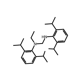 CCN(CNc1c(C(C)C)cccc1C(C)C)c1c(C(C)C)cccc1C(C)C